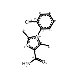 Cc1nc(C(N)=O)c(C)n1-c1ccccc1Cl